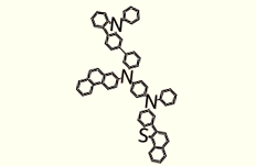 c1ccc(N(c2ccc(N(c3cccc(-c4ccc5c6ccccc6n(-c6ccccc6)c5c4)c3)c3ccc4c(ccc5ccccc54)c3)cc2)c2ccc3sc4c5ccccc5ccc4c3c2)cc1